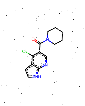 O=C(c1cnc2[nH]ccc2c1Cl)N1CCCCC1